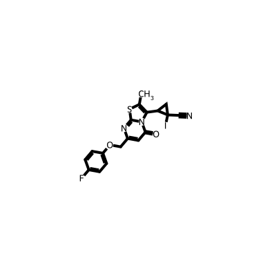 Cc1sc2nc(COc3ccc(F)cc3)cc(=O)n2c1C1CC1(I)C#N